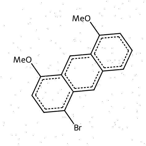 COc1cccc2cc3c(Br)ccc(OC)c3cc12